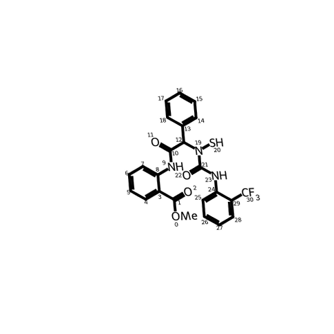 COC(=O)c1ccccc1NC(=O)C(c1ccccc1)N(S)C(=O)Nc1ccccc1C(F)(F)F